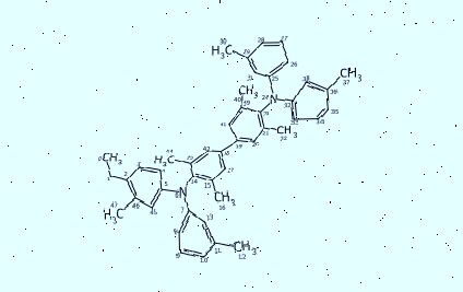 CCc1ccc(N(c2cccc(C)c2)c2c(C)cc(-c3cc(C)c(N(c4cccc(C)c4)c4cccc(C)c4)c(C)c3)cc2C)cc1C